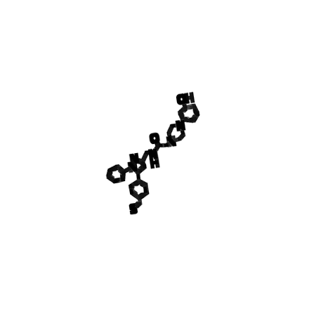 O=C(CN1CCN(c2cccc(O)c2)CC1)NCc1cc(-c2ccc(C=S)cc2)n(-c2ccccc2)n1